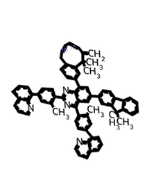 C=C1/C=C\C=C/Cc2ccc(-c3cc(-c4ccc5c(c4)C(C)(C)c4ccccc4-5)cc4c(-c5ccc(-c6cccc7cccnc67)cc5C)nc(-c5ccc(-c6cccc7cccnc67)cc5C)nc34)cc2C1(C)C